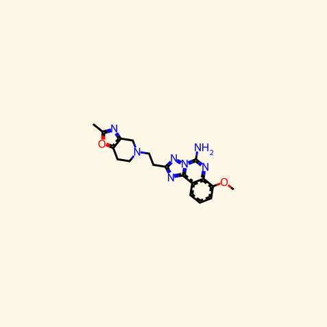 COc1cccc2c1nc(N)n1nc(CCN3CCc4oc(C)nc4C3)nc21